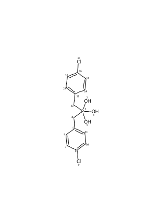 OP(O)(O)(Cc1ccc(Cl)cc1)Cc1ccc(Cl)cc1